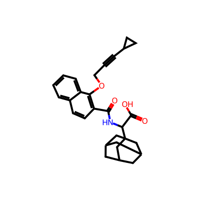 O=C(NC(C(=O)O)C12CC3CC(CC(C3)C1)C2)c1ccc2ccccc2c1OCC#CC1CC1